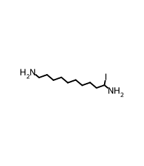 NCCCCCCCCCC(N)I